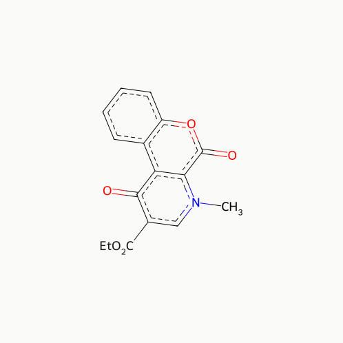 CCOC(=O)c1cn(C)c2c(=O)oc3ccccc3c2c1=O